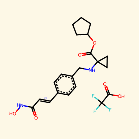 O=C(/C=C/c1ccc(CNC2(C(=O)OC3CCCC3)CC2)cc1)NO.O=C(O)C(F)(F)F